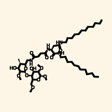 CCCCCCCCCCCCNC(=O)C[C@H](NC(=O)CCC(=O)NCC1O[C@H](O[C@@H]2C(COC)O[C@H](OC)C(OC)[C@H]2O)C(OC)[C@@H](O)[C@@H]1C)C(=O)NCCCCCCCCCCCC